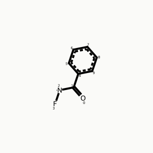 O=C([N]F)c1ccccc1